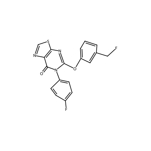 O=c1c2ncsc2nc(Oc2cccc(CF)c2)n1-c1ccc(F)cc1